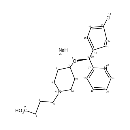 O=C(O)CCCN1CCC(O[C@@H](c2ccc(Cl)cc2)c2ccccn2)CC1.[NaH]